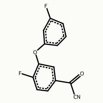 N#CC(=O)c1ccc(F)c(Oc2cccc(F)c2)c1